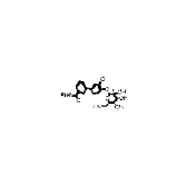 CNC(=O)c1cccc(-c2ccc(O[C@H]3O[C@H](CO)[C@@H](O)[C@H](O)[C@@]3(C)O)c(Cl)c2)c1